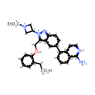 CCOC(=O)N1CC(n2nc3ccc(-c4cccc5c(N)nccc45)cc3c2COc2ccccc2CC(=O)O)C1